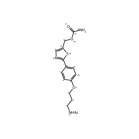 CC(=O)NCCCOc1ccc(-c2ncc(COC(N)=O)s2)cc1